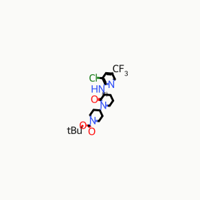 CC(C)(C)OC(=O)N1CCC(N2CCC[C@H](Nc3ncc(C(F)(F)F)cc3Cl)C2=O)CC1